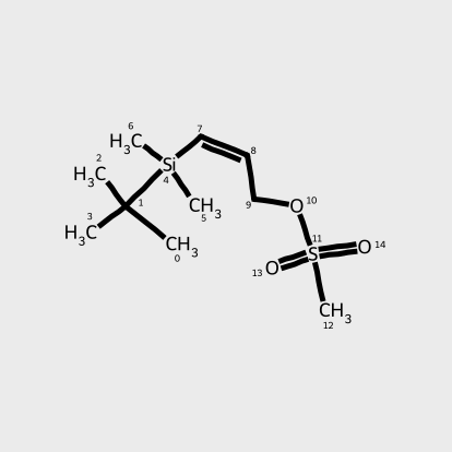 CC(C)(C)[Si](C)(C)/C=C\COS(C)(=O)=O